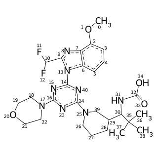 COc1cccc2c1nc(C(F)F)n2-c1nc(N2CCOCC2)nc(N2CCCC(C(NC(=O)O)C(C)(C)C)C2)n1